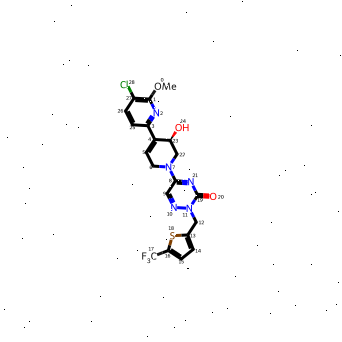 COc1nc(C2=CCN(c3cnn(Cc4ccc(C(F)(F)F)s4)c(=O)n3)C[C@@H]2O)ccc1Cl